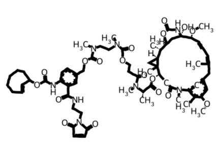 COc1cc2cc(c1Cl)N(C)C(=O)C[C@H](OC(=O)[C@H](C)N(C)C(=O)CCOC(=O)N(C)CCN(C)C(=O)OCc1ccc(NC(=O)OC3/C=C/CCCCC3)c(C(=O)NCCN3C(=O)C=CC3=O)c1)C1(C)C[C@H]1[C@H](C)[C@@H]1C[C@@](O)(NC(=O)O1)[C@H](OC)/C=C/C=C(\C)C2